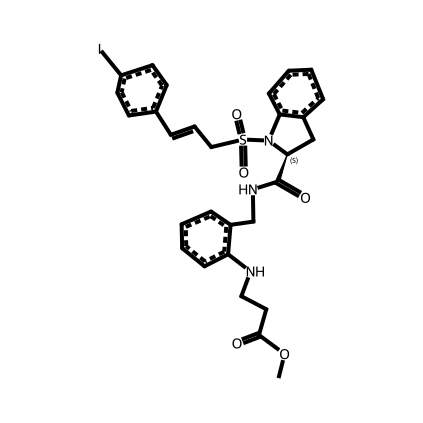 COC(=O)CCNc1ccccc1CNC(=O)[C@@H]1Cc2ccccc2N1S(=O)(=O)CC=Cc1ccc(I)cc1